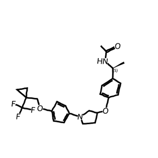 CC(=O)N[C@@H](C)c1ccc(OC2CCN(c3ccc(OCC4(C(F)(F)F)CC4)cc3)C2)cc1